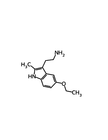 CCOc1ccc2[nH]c(C)c(CCN)c2c1